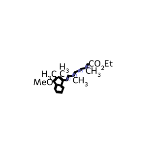 CCOC(=O)/C=C(C)/C=C/C=C(C)/C=C/c1c(C)c(C)c(OC)c2ccccc12